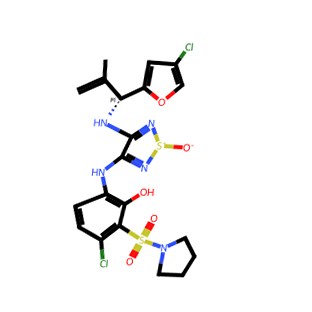 C=C(C)[C@@H](Nc1n[s+]([O-])nc1Nc1ccc(Cl)c(S(=O)(=O)N2CCCC2)c1O)c1cc(Cl)co1